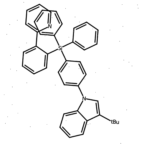 CC(C)(C)c1cn(-c2ccc([Si](c3ccccc3)(c3ccccc3)c3ccccc3-c3ccccn3)cc2)c2ccccc12